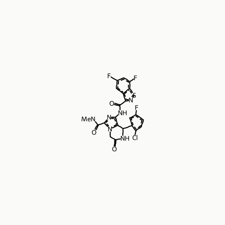 CNC(=O)c1nc(NC(=O)c2nsc3c(F)cc(F)cc23)c2n1CC(=O)NC2c1cc(F)ccc1Cl